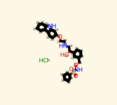 Cl.O=S(=O)(NOCc1cccc(C(O)CNCCOc2ccc3c(c2)[nH]c2ccccc23)c1)c1ccccc1